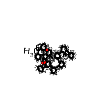 CC1(C)c2ccccc2C2(c3ccccc3-c3c(-n4c5ccc(-c6ccccc6)cc5c5ccccc5c5ccccc5c5cc(-c6cccc7c6oc6ccccc67)ccc54)cccc32)c2ccccc21